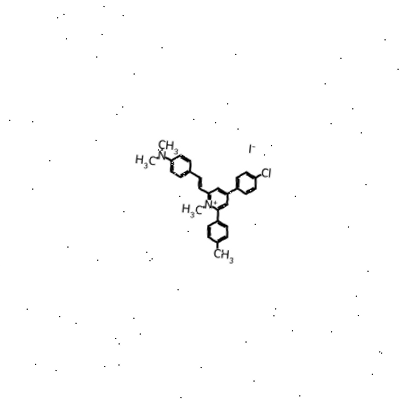 Cc1ccc(-c2cc(-c3ccc(Cl)cc3)cc(/C=C/c3ccc(N(C)C)cc3)[n+]2C)cc1.[I-]